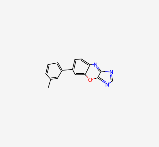 Cc1cccc(-c2ccc3nc4ncnc-4oc3c2)c1